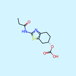 CCC(=O)Nc1nc2c(s1)C[C@@H](OC(=O)O)CC2